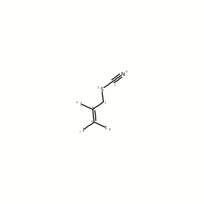 N#CSCC(I)=C(I)I